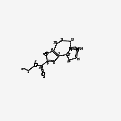 CCOC(=O)c1cc2c(s1)CCCN1N=CCC21